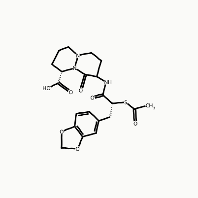 CC(=O)S[C@H](Cc1ccc2c(c1)OCO2)C(=O)NC1CCN2CCC[C@@H](C(=O)O)N2C1=O